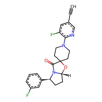 C#Cc1cnc(N2CCC3(CC2)O[C@@H]2CC[C@@H](c4cccc(F)c4)N2C3=O)c(F)c1